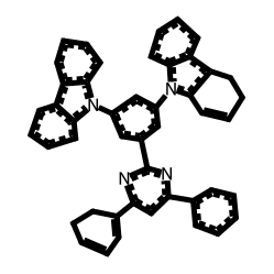 C1=CCCC(c2cc(-c3ccccc3)nc(-c3cc(-n4c5c(c6ccccc64)CCC=C5)cc(-n4c5ccccc5c5ccccc54)c3)n2)=C1